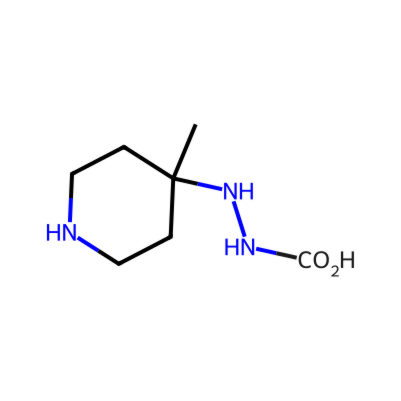 CC1(NNC(=O)O)CCNCC1